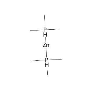 C[PH](C)(C)[Zn][PH](C)(C)C